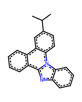 CC(C)c1ccc2c(c1)c1ccccc1c1nc3ccccc3n21